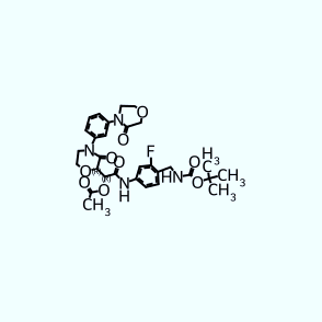 CC(=O)O[C@@H](C(=O)Nc1ccc(CNC(=O)OC(C)(C)C)c(F)c1)[C@H]1OCCN(c2cccc(N3CCOCC3=O)c2)C1=O